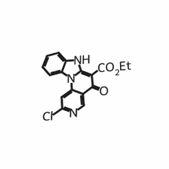 CCOC(=O)c1c(=O)c2cnc(Cl)cc2n2c1[nH]c1ccccc12